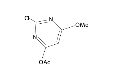 COc1cc(OC(C)=O)nc(Cl)n1